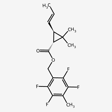 CC=C[C@@H]1[C@@H](C(=O)OCc2c(F)c(F)c(C)c(F)c2F)C1(C)C